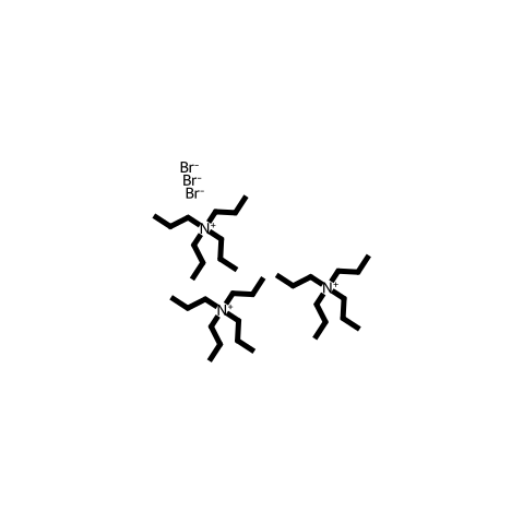 CCC[N+](CCC)(CCC)CCC.CCC[N+](CCC)(CCC)CCC.CCC[N+](CCC)(CCC)CCC.[Br-].[Br-].[Br-]